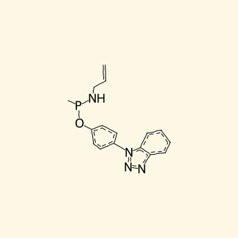 C=CCNP(C)Oc1ccc(-n2nnc3ccccc32)cc1